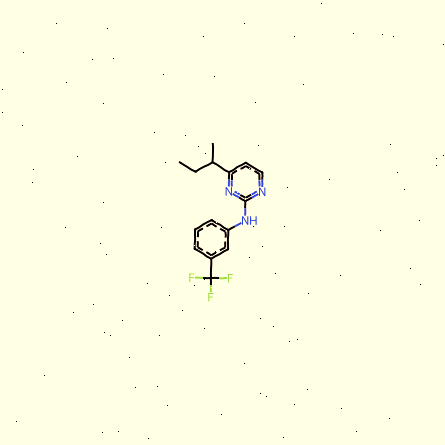 CCC(C)c1ccnc(Nc2cccc(C(F)(F)F)c2)n1